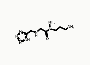 NCCCN(N)C(=O)CNCc1nnn[nH]1